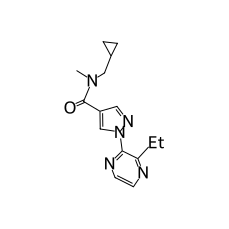 CCc1nccnc1-n1cc(C(=O)N(C)CC2CC2)cn1